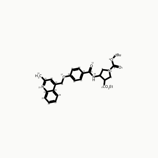 CCOC(=O)C1CN(C(=O)OC(C)(C)C)CC1NC(=O)c1ccc(OCc2cc(C)nc3ccccc23)cc1